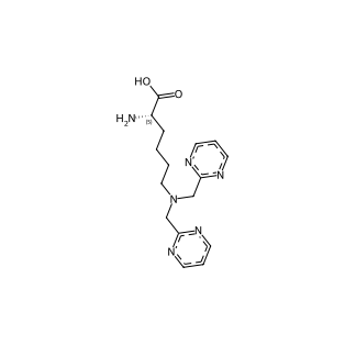 N[C@@H](CCCCN(Cc1ncccn1)Cc1ncccn1)C(=O)O